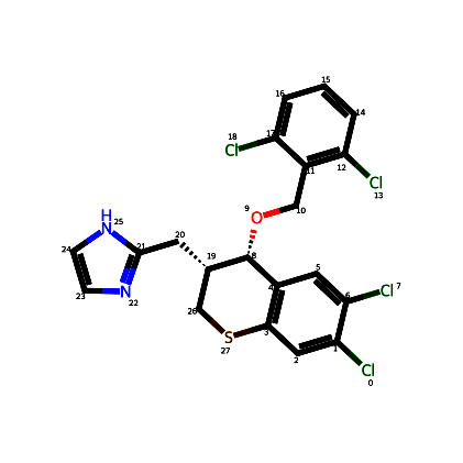 Clc1cc2c(cc1Cl)[C@@H](OCc1c(Cl)cccc1Cl)[C@@H](Cc1ncc[nH]1)CS2